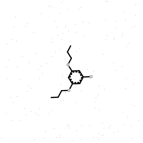 CCCOc1cc(Cl)cc(OCCC)c1